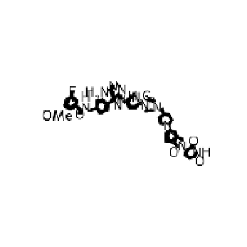 COc1ccc(F)cc1C(=O)NCc1ccc(-c2nn(-c3ccc(N4CCN(CC5CCN(c6ccc7c(c6)CN(C6CCC(=O)NC6=O)C7=O)CC5)C[C@@H]4C)nc3)c3ncnc(N)c23)cc1